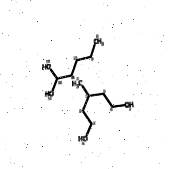 CC(CCO)CCO.CCCCC(O)O